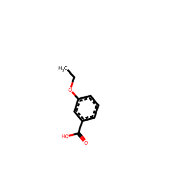 CCOc1cc[c]c(C(=O)O)c1